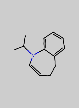 CC(C)N1C=CCCc2ccccc21